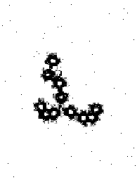 c1ccc(-c2cccc3c2oc2ccc(-c4ccc(N(c5ccc(-c6ccc7ccc8ccccc8c7c6)cc5)c5ccc6ccc7ccccc7c6c5)cc4)cc23)cc1